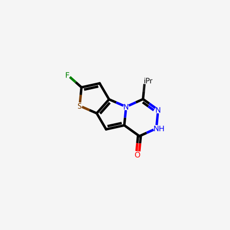 CC(C)c1n[nH]c(=O)c2cc3sc(F)cc3n12